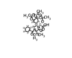 CC(=O)Oc1cc(C2=CN(C(=O)c3ccccc3)C(C(C)C)C(=O)N2CC(=O)O)cc(OC(C)=O)c1OC(C)=O